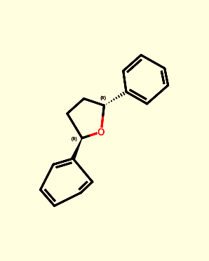 c1ccc([C@H]2CC[C@H](c3ccccc3)O2)cc1